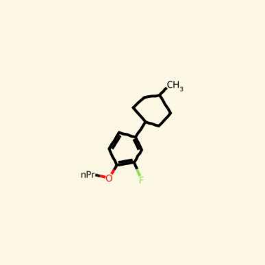 CCCOc1ccc(C2CCC(C)CC2)cc1F